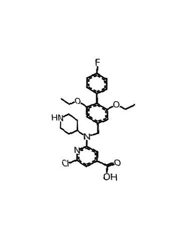 CCOc1cc(CN(c2cc(C(=O)O)cc(Cl)n2)C2CCNCC2)cc(OCC)c1-c1ccc(F)cc1